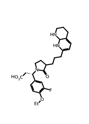 CCOc1ccc([C@H](CC(=O)O)N2CCC(CCCC3=CC=C4CCCNC4N3)C2=O)cc1F